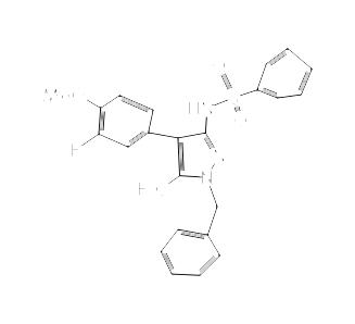 COc1ccc(-c2c(NS(=O)(=O)c3ccccc3)nn(Cc3ccccc3)c2C(F)(F)F)cc1F